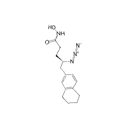 [N-]=[N+]=N[C@H](CCC(=O)NO)Cc1ccc2c(c1)CCCC2